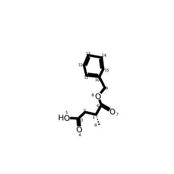 C[C@H](CC(=O)O)C(=O)OCc1ccccc1